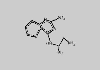 CCCCC(CN)Nc1nc(N)nc2cccnc12